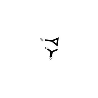 CC(=O)[O-].CC1CC1.[Na+]